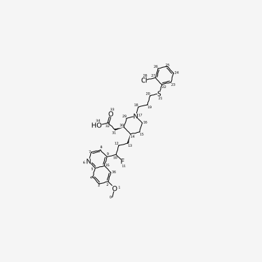 COc1ccc2nccc(C(F)CC[C@@H]3CCN(CCCSc4ccccc4Cl)C[C@@H]3CC(=O)O)c2c1